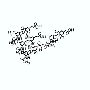 CC(=O)Nc1cc(C)cc(COc2c(Br)cc(C(=O)NCC(=O)O)cc2Br)c1F.CC(=O)Nc1cc(C)cc(COc2c(Br)cc(CCC(=O)O)cc2Br)c1F.CC(=O)Nc1cc(C)cc(COc2c(Cl)cc(CCC(=O)O)cc2Cl)c1F.CC(=O)Nc1cccc(COc2c(Cl)cc(CC(=O)O)cc2Cl)c1Cl